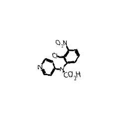 O=C(O)N(c1ccncc1)c1cccc([N+](=O)[O-])c1Cl